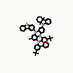 Cc1cc2c3c(c1)N(c1ccc(C(C)(C)C)cc1-c1ccccc1)c1ccc(C(C)(C)C)cc1B3c1ccc(N3c4ccccc4C4(C)CCCCC34C)cc1N2c1ccc2sc3ccccc3c2c1